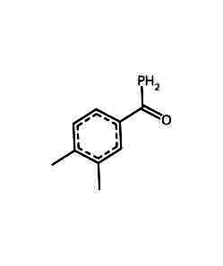 Cc1ccc(C(=O)P)cc1C